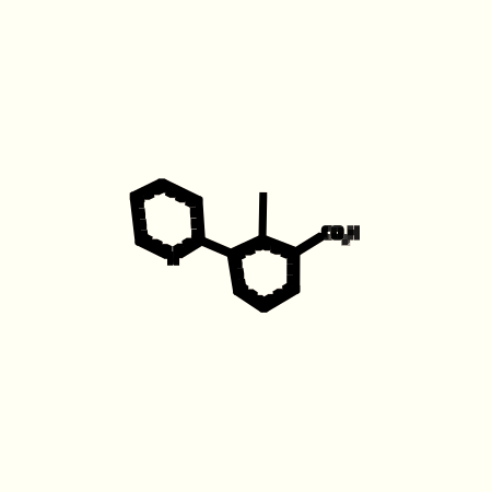 Cc1c(C(=O)O)cccc1-c1ccccn1